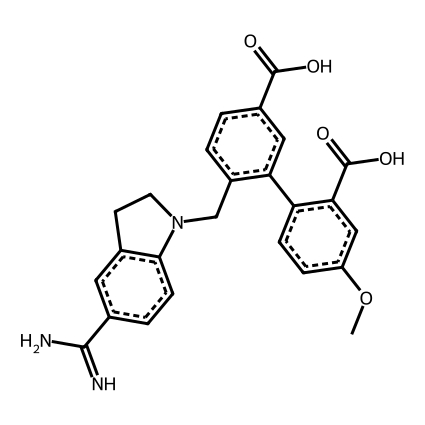 COc1ccc(-c2cc(C(=O)O)ccc2CN2CCc3cc(C(=N)N)ccc32)c(C(=O)O)c1